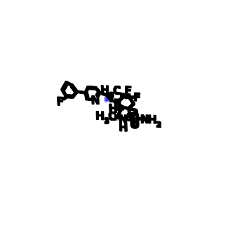 C[C@H]1NS(=O)(=O)C2(CC(N)=O)CC(F)(F)[C@@H](C)[C@H](/C=C/c3ccc(-c4cccc(F)c4)cn3)[C@H]12